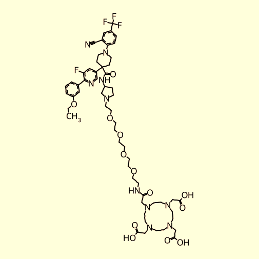 CCOc1cccc(-c2ncc(C3(C(=O)NC4CCN(CCOCCOCCOCCOCCNC(=O)CN5CCN(CC(=O)O)CCN(CC(=O)O)CCN(CC(=O)O)CC5)C4)CCN(c4ccc(C(F)(F)F)cc4C#N)CC3)cc2F)c1